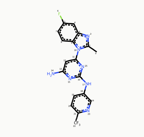 Cc1nc2cc(F)ccc2n1-c1cc(N)nc(Nc2ccc(C(F)(F)F)nc2)n1